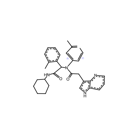 C=C(C)/C=C(\C=C/C)N(C(=O)Cc1c[nH]c2cccnc12)C(C(=O)NC1CCCCC1)c1ccccc1C